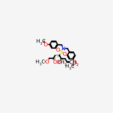 C=CC[C@H](C)[C@H](C[C@@H](O)COC)S(=O)(=O)N(Cc1ccc(OC)cc1)Cc1ccc(OC)cc1